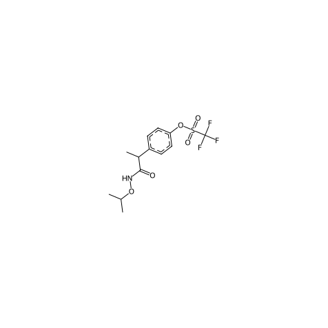 CC(C)ONC(=O)C(C)c1ccc(OS(=O)(=O)C(F)(F)F)cc1